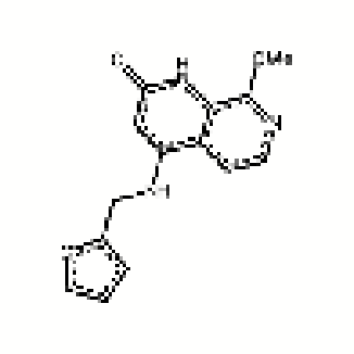 COc1nccc2c(NCc3ccco3)cc(=O)[nH]c12